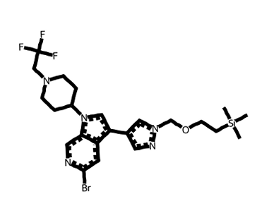 C[Si](C)(C)CCOCn1cc(-c2cn(C3CCN(CC(F)(F)F)CC3)c3cnc(Br)cc23)cn1